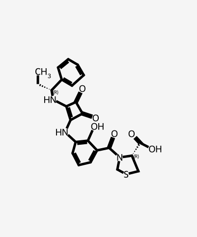 CC[C@@H](Nc1c(Nc2cccc(C(=O)N3CSC[C@H]3C(=O)O)c2O)c(=O)c1=O)c1ccccc1